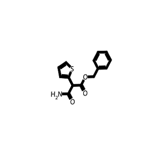 NC(=O)C(C(=O)OCc1ccccc1)c1cccs1